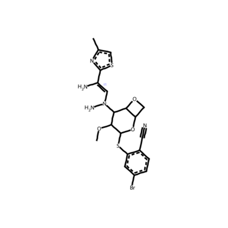 COC1C(Sc2cc(Br)ccc2C#N)OC2COC2C1N(N)/C=C(\N)c1nc(C)cs1